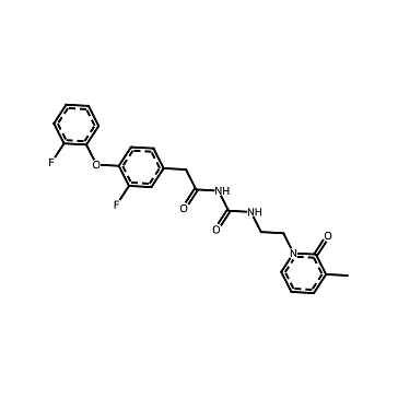 Cc1cccn(CCNC(=O)NC(=O)Cc2ccc(Oc3ccccc3F)c(F)c2)c1=O